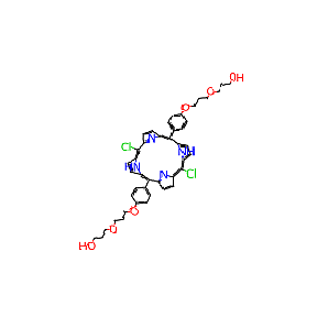 OCCCOCCCOc1ccc(-c2c3nc(c(Cl)c4ccc([nH]4)c(-c4ccc(OCCCOCCCO)cc4)c4nc(c(Cl)c5ccc2[nH]5)C=C4)C=C3)cc1